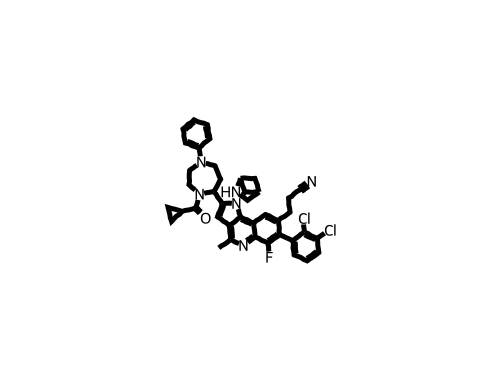 Cc1nc2c(F)c(-c3cccc(Cl)c3Cl)c(CCC#N)cc2c2c1cc(C1CCN(c3ccccc3)CCN1C(=O)C1CC1)n2C1C2CNC1C2